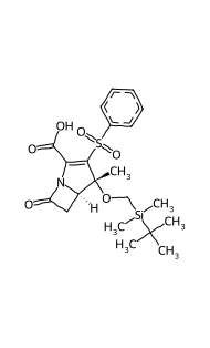 CC(C)(C)[Si](C)(C)CO[C@@]1(C)C(S(=O)(=O)c2ccccc2)=C(C(=O)O)N2C(=O)C[C@@H]21